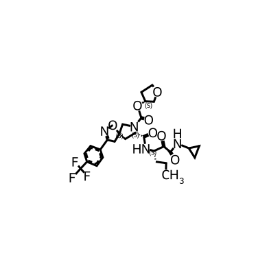 CCC[C@H](NC(=O)[C@@H]1C[C@]2(CC(c3ccc(C(F)(F)F)cc3)=NO2)CN1C(=O)O[C@H]1CCOC1)C(=O)C(=O)NC1CC1